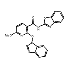 COc1ccc(C(=O)Nc2nc3ccccc3s2)c(On2nnc3ccccc32)n1